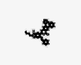 CCCCc1nc2cc(C=Cc3ccccc3)c(C(Cc3ccc(-c4ccccc4)c(-c4nnn[nH]4)c3)OC=O)cc2[nH]1